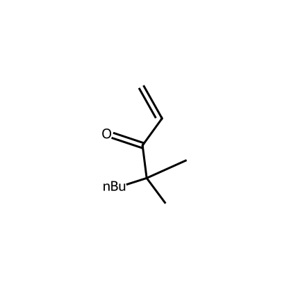 C=CC(=O)C(C)(C)CCCC